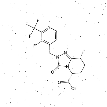 C[C@@H]1CC[C@H](C(=O)O)n2c1nn(Cc1ccnc(C(F)(F)F)c1F)c2=O